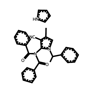 Cc1cn(C(C)c2ccccc2)c(N(C(=O)c2ccccc2)C(=O)c2ccccc2)c1C#N.c1cc[nH]c1